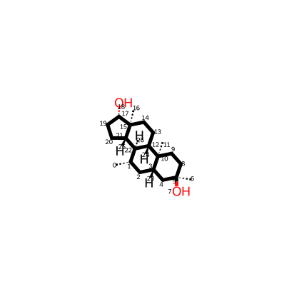 C[C@H]1C[C@H]2C[C@](C)(O)CC[C@]2(C)[C@H]2CC[C@]3(C)[C@@H](O)CC[C@H]3[C@H]12